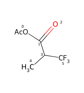 CC(=O)OC(=O)C(C)C(F)(F)F